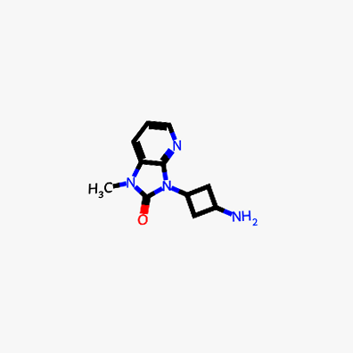 Cn1c(=O)n(C2CC(N)C2)c2ncccc21